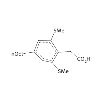 CCCCCCCCc1cc(SC)c(CC(=O)O)c(SC)c1